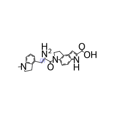 CN1CCc2c(/C=C(\N)C(=O)N3CCc4c3ccc3[nH]c(C(=O)O)cc43)cccc21